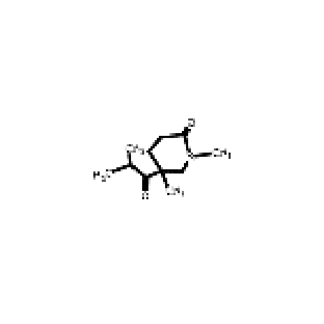 CC(C)C(=O)C1(C)CCC(=O)N(C)C1